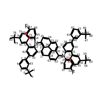 CC(C)(C)c1cccc(-c2ccc(N(C3=C4C=CC5=C6C(=CC=C(C=C3)C46)C(N(c3ccc(F)cc3)c3ccc(-c4cccc(C(C)(C)C)c4)cc3-c3cccc(C(C)(C)C)c3)C=C5)c3ccc(F)cc3)c(-c3cccc(C(C)(C)C)c3)c2)c1